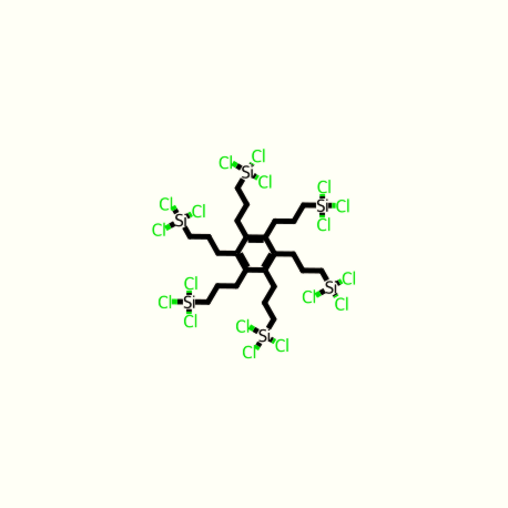 Cl[Si](Cl)(Cl)CCCc1c(CCC[Si](Cl)(Cl)Cl)c(CCC[Si](Cl)(Cl)Cl)c(CCC[Si](Cl)(Cl)Cl)c(CCC[Si](Cl)(Cl)Cl)c1CCC[Si](Cl)(Cl)Cl